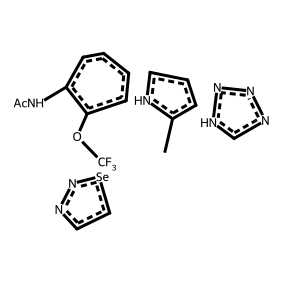 CC(=O)Nc1ccccc1OC(F)(F)F.Cc1ccc[nH]1.c1c[se]nn1.c1nnn[nH]1